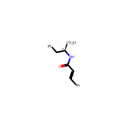 CCOC(=O)[C@H](CC(C)C)NC(=O)/C=C/C(C)C